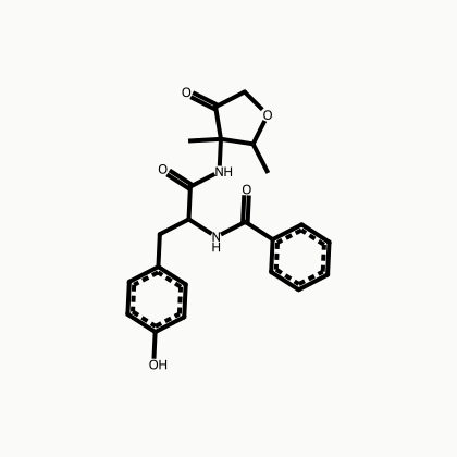 CC1OCC(=O)C1(C)NC(=O)C(Cc1ccc(O)cc1)NC(=O)c1ccccc1